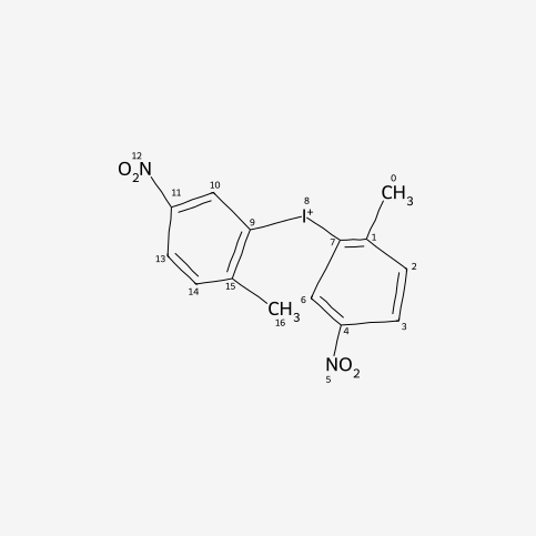 Cc1ccc([N+](=O)[O-])cc1[I+]c1cc([N+](=O)[O-])ccc1C